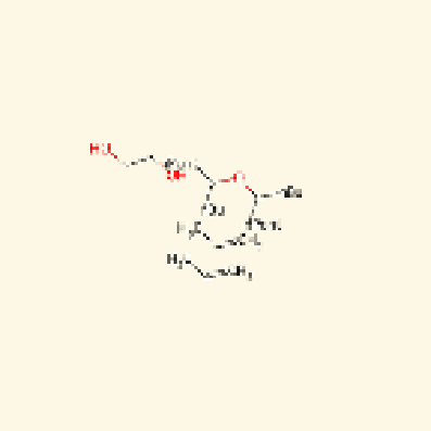 C=CC.C=CC.CCCCCC(CCCC)OC(CCCC)CCCCC.OCCO